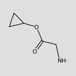 [NH]CC(=O)OC1CC1